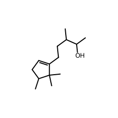 CC(O)C(C)CCC1=CCC(C)C1(C)C